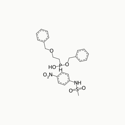 CS(=O)(=O)Nc1ccc([N+](=O)[O-])c([PH](O)(CCOCc2ccccc2)OCc2ccccc2)c1